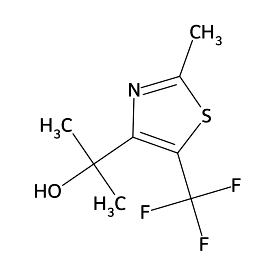 Cc1nc(C(C)(C)O)c(C(F)(F)F)s1